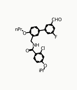 CCCOc1ccc(-c2cc(F)cc(C=O)c2)cc1CNC(=O)c1ccc(OC(C)C)cc1Cl